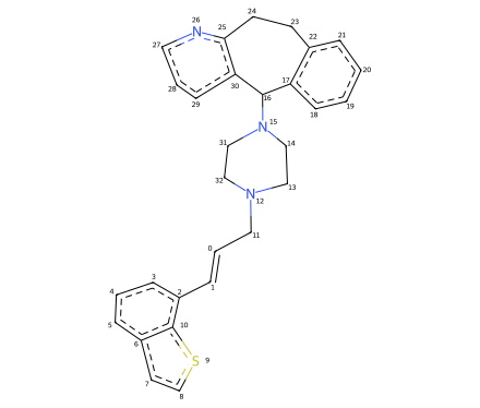 C(=C\c1cccc2ccsc12)/CN1CCN(C2c3ccccc3CCc3ncccc32)CC1